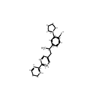 C=C(/N=C\C(=C/C)CC(C)c1ccc(F)c(N2CCCC2)c1)C1=NCCC=N1